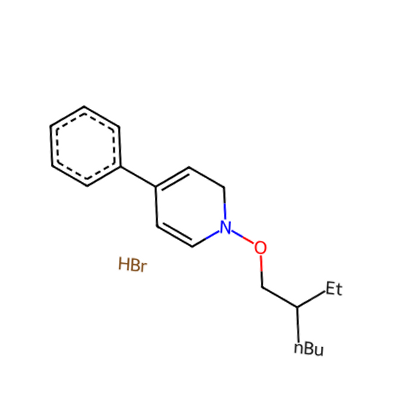 Br.CCCCC(CC)CON1C=CC(c2ccccc2)=CC1